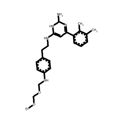 CCOCOCNc1ccc(CCNC2=CC(c3cccc(C)c3C)=NC(N)N2)cc1